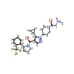 CN(C)CC(=O)N1CCC(n2ncc(C(=O)N3CCCC3c3ccccc3C(F)(F)F)c2C2CC2)CC1